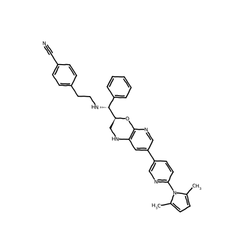 Cc1ccc(C)n1-c1ccc(-c2cnc3c(c2)NC[C@@H]([C@H](NCCc2ccc(C#N)cc2)c2ccccc2)O3)cn1